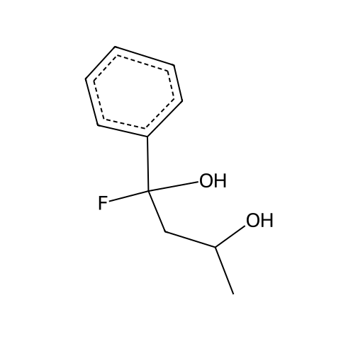 CC(O)CC(O)(F)c1ccccc1